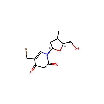 CC1C[C@H](N2C=C(CBr)C(=O)CC2=O)O[C@@H]1CO